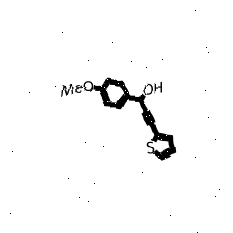 COc1ccc(C(O)C#Cc2cccs2)cc1